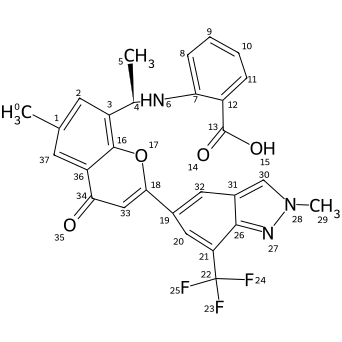 Cc1cc([C@@H](C)Nc2ccccc2C(=O)O)c2oc(-c3cc(C(F)(F)F)c4nn(C)cc4c3)cc(=O)c2c1